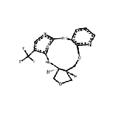 FC(F)(F)c1cnc2nc1N[C@@H]1COC[C@H]1COc1ncccc1N2